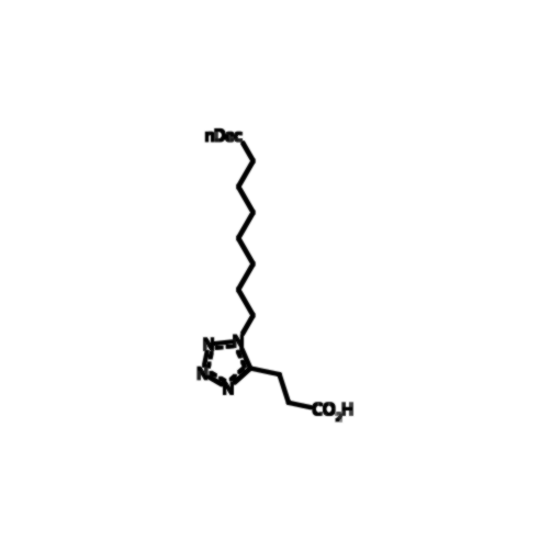 CCCCCCCCCCCCCCCCCn1nnnc1CCC(=O)O